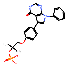 CC(C)(COc1ccc(-c2cn(-c3ccccc3)c3nc[nH]c(=O)c23)cc1)OP(=O)(O)O